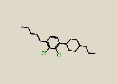 CCCCCc1ccc(C2CCC(CCC)CC2)c(Cl)c1Cl